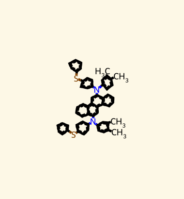 Cc1ccc(N(c2ccc(Sc3ccccc3)cc2)c2cc3c4ccccc4c(N(c4ccc(Sc5ccccc5)cc4)c4ccc(C)c(C)c4)cc3c3ccccc23)cc1C